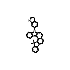 CC1(C)c2ccccc2-c2ccc3ccc4c(c5ccccc5n4-c4ccc5c(c4)N=CC5)c3c21